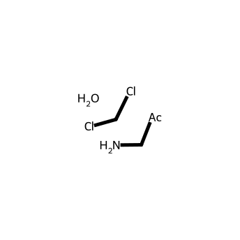 CC(=O)CN.ClCCl.O